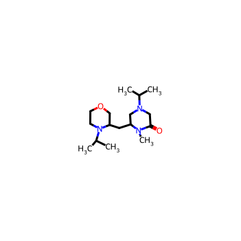 CC(C)N1CC(=O)N(C)C(CC2COCCN2C(C)C)C1